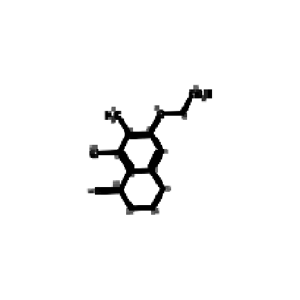 Cc1c(OCC(=O)O)cc2c(c1Cl)C(=O)CCC2